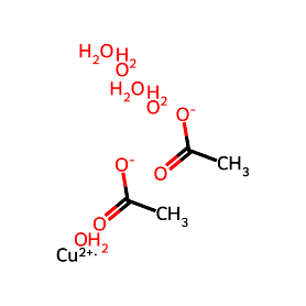 CC(=O)[O-].CC(=O)[O-].O.O.O.O.O.[Cu+2]